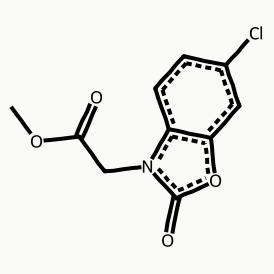 COC(=O)Cn1c(=O)oc2cc(Cl)ccc21